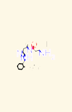 CC(=O)Oc1ccccc1Cn1cnc(CC(NC(=O)CCN)C(=O)O)c1